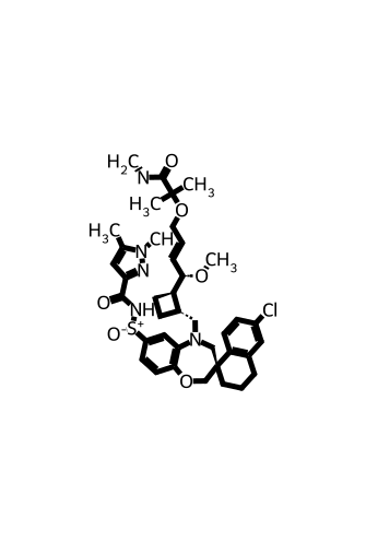 C=NC(=O)C(C)(C)OC/C=C/[C@H](OC)[C@@H]1CC[C@H]1CN1C[C@@]2(CCCc3cc(Cl)ccc32)COc2ccc([S+]([O-])NC(=O)c3cc(C)n(C)n3)cc21